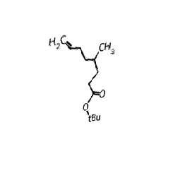 C=CCCC(C)CCC(=O)OC(C)(C)C